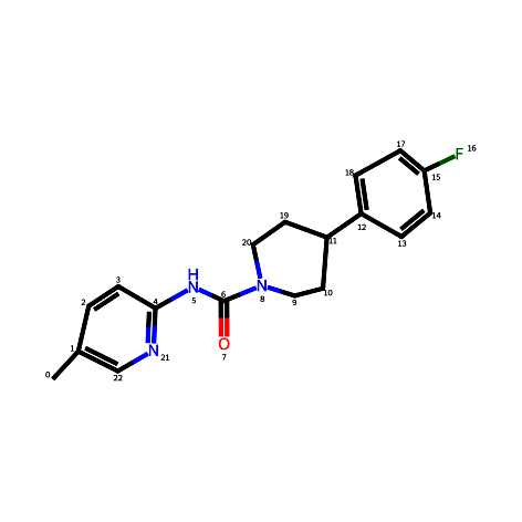 Cc1ccc(NC(=O)N2CCC(c3ccc(F)cc3)CC2)nc1